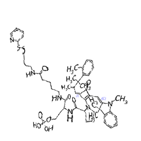 C=C(/C=C1\C(=O)C(/C=C2/N(C)c3ccccc3C2(C)C)=C1N1CCCC1C(=O)NC(COP(=O)(O)O)C(=O)NCCCCC(=O)NCCSSc1ccccn1)C(C)(C)c1ccccc1C